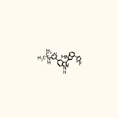 CC(C)Nc1cncc(-c2ccc3[nH]nc(-c4cc5c(-c6ccc(F)s6)cccc5[nH]4)c3c2)c1